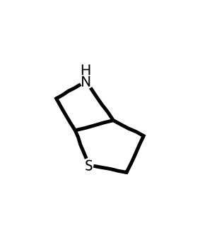 C1CC2NCC2S1